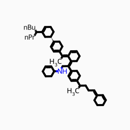 CCCCC(CCC)C1=CCC[C@H](C2=CC=C(/C(C)=C3\C=CCC\C3=C(\CNC3C=CCCC3)C3=CC=C(C(C)CC/C=C4/C=CCCC4)CC3)CC2)C1